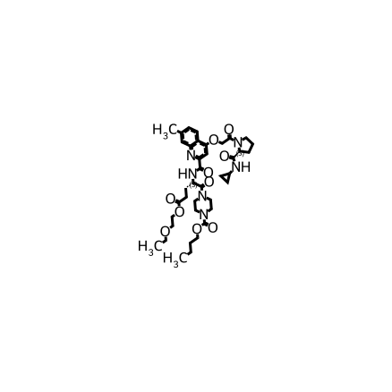 CCCCOC(=O)N1CCN(C(=O)[C@H](CCC(=O)OCCOCC)NC(=O)c2cc(OCC(=O)N3CCC[C@H]3C(=O)NC3CC3)c3ccc(C)cc3n2)CC1